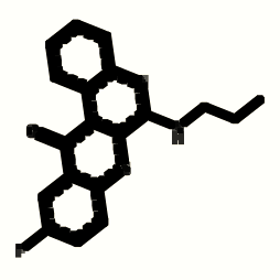 CCCNc1nc2ccccc2c2c(=O)c3cc(F)ccc3sc12